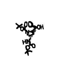 CC(C)(C)OC(=O)NC[C@H]1C[C@H](C(=O)O)N(C(=O)OC(C)(C)C)C1